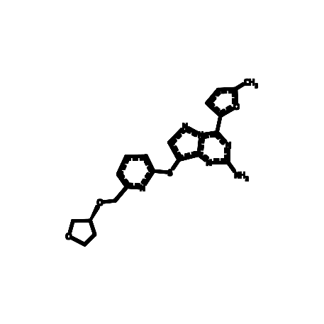 Cc1ccc(-c2nc(N)nc3c(Sc4cccc(CO[C@H]5CCOC5)n4)cnn23)o1